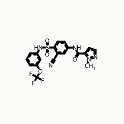 Cn1nccc1C(=O)Nc1ccc(S(=O)(=O)Nc2cccc(OC(F)(F)F)c2)c(C#N)c1